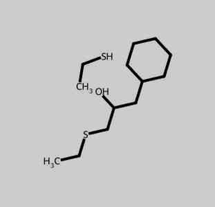 CCS.CCSCC(O)CC1CCCCC1